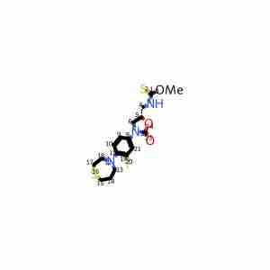 COC(=S)NC[C@H]1CN(c2ccc(N3CCCSCC3)c(F)c2)C(=O)O1